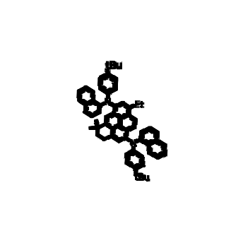 CCc1cc(N(c2ccc(C(C)(C)C)cc2)c2cccc3ccccc23)c2cc3c4c(cc(N(c5ccc(C(C)(C)C)cc5)c5cccc6ccccc56)c5ccc1c2c54)CCC3(C)C